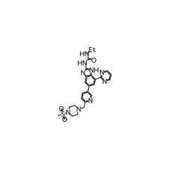 CCNC(=O)Nc1nc2cc(-c3ccc(CN4CCN(S(C)(=O)=O)CC4)nc3)cc(-c3ncccn3)c2[nH]1